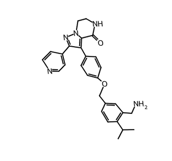 CC(C)c1ccc(COc2ccc(-c3c(-c4ccncc4)nn4c3C(=O)NCC4)cc2)cc1CN